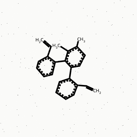 C=Cc1ccccc1-c1ccc(C)c(C)c1-c1ccccc1C=C